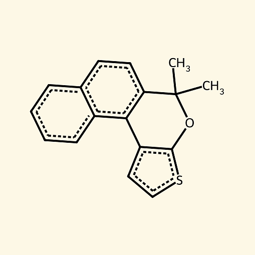 CC1(C)Oc2sccc2-c2c1ccc1ccccc21